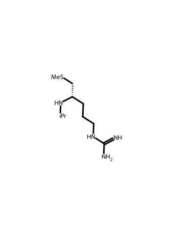 CSC[C@H](CCCNC(=N)N)NC(C)C